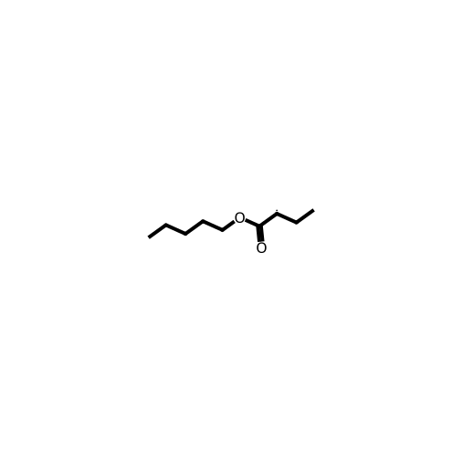 CC[CH]C(=O)OCCCCC